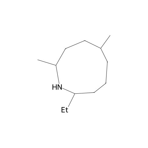 CCC1CCCC(C)CCC(C)N1